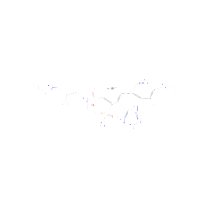 Cc1cc(-c2ccc(S(=O)(=O)NCC(O)CN)c(S(N)(=O)=O)c2-c2nn[nH]n2)cnc1N